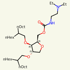 CCCCCCCCC(CCCCCC)CO[C@@H]1[C@@H](OCC(CCCCCC)CCCCCCCC)CO[C@@H]1COC(=O)NCCN(CC)CC